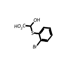 O=C(O)C(O)Sc1ccccc1Br